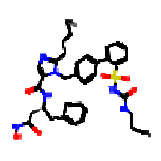 CCCCc1ncc(C(=O)N[C@@H](CC(=O)NO)Cc2ccccc2)n1Cc1ccc(-c2ccccc2S(=O)(=O)NC(=O)NCCC)cc1